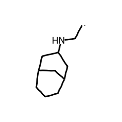 [CH2]CNC1CC2CCCC(C2)C1